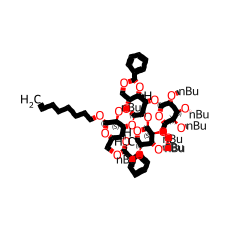 C=CCCCCCCO[C@@H]1OC2COC(c3ccccc3)O[C@@H]2C(O[C@@H]2OC3COC(c4ccccc4)O[C@@H]3C(O[C@H]3OC(COCCCC)[C@H](OCCCC)[C@H](OCCCC)C3OCCCC)[C@@H]2O[C@@H]2OC(C)[C@@H](OCCCC)C(OCCCC)[C@@H]2OCCCC)[C@@H]1OCCCC